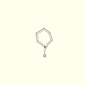 Cl[n+]1ccccc1